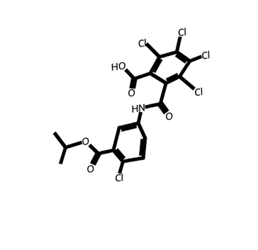 CC(C)OC(=O)c1cc(NC(=O)c2c(Cl)c(Cl)c(Cl)c(Cl)c2C(=O)O)ccc1Cl